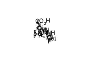 Cc1cc(C(F)F)nn1-c1nc(Nc2ccc(F)c(Cl)c2)ncc1-c1cccc(C=CC(=O)O)c1